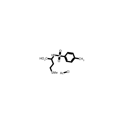 CC(=O)Cl.CSCCC(NS(=O)(=O)c1ccc(C)cc1)C(=O)O